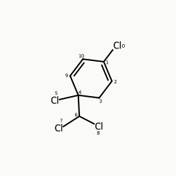 ClC1=CCC(Cl)(C(Cl)Cl)C=C1